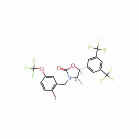 C[C@H]1[C@@H](c2cc(C(F)(F)F)cc(C(F)(F)F)c2)OC(=O)N1Cc1cc(OC(F)(F)F)ccc1I